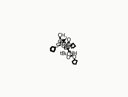 C=C[C@@H]1C[C@]1(NC(=O)[C@@H]1CCCN1C(=O)[C@@H](NC(=O)OC1CCCC1)C(C)(C)C)P(=O)(O)CSc1ccccc1